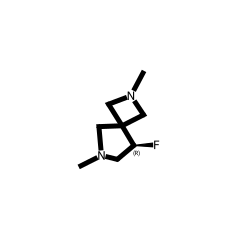 CN1C[C@H](F)C2(C1)CN(C)C2